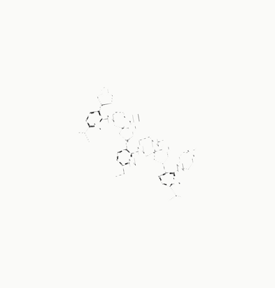 CCc1ccc([C@@H]2COC3(C2)CN(c2nc(C(C)C)ccc2[C@@H]2CCOC2)CCN3)c(N2CCN(C)C3(CC(c4ccc(C(C)C)nc4N4CCN(C)CC4)CO3)C2)n1